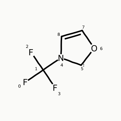 FC(F)(F)N1[C]OC=C1